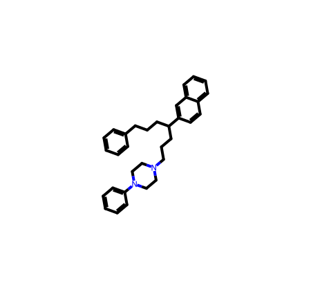 c1ccc(CCCC(CCCN2CCN(c3ccccc3)CC2)c2ccc3ccccc3c2)cc1